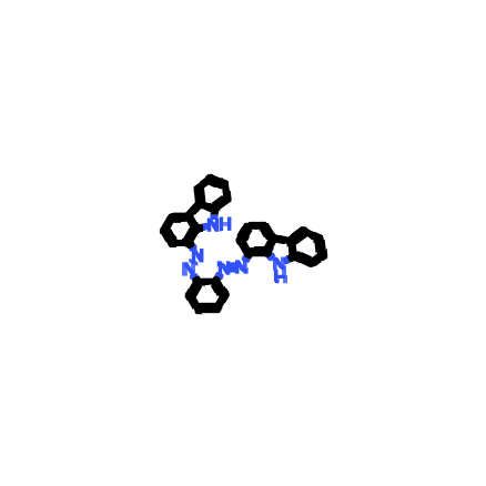 c1ccc(N=Nc2cccc3c2[nH]c2ccccc23)c(N=Nc2cccc3c2[nH]c2ccccc23)c1